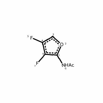 CC(=O)Nc1occ(F)c1F